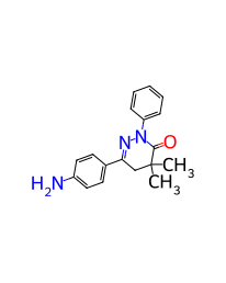 CC1(C)CC(c2ccc(N)cc2)=NN(c2ccccc2)C1=O